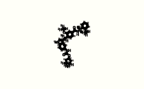 [2H]C([2H])([2H])Oc1cc(C(=O)NS(=O)(=O)c2ccccc2C([2H])([2H])[2H])ccc1C([2H])([2H])c1cn(C)c2ccc(NC(=O)OC3CC([2H])([2H])C([2H])([2H])C3)cc12